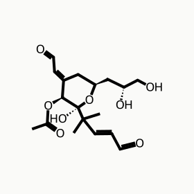 CC(=O)O[C@H]1/C(=C/C=O)C[C@@H](C[C@@H](O)CO)O[C@@]1(O)C(C)(C)/C=C/C=O